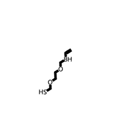 C=CBCOCCOCS